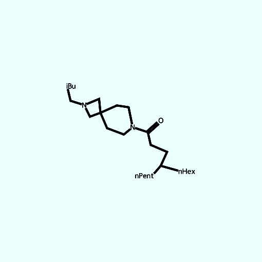 CCCCCCC(CCCCC)CCC(=O)N1CCC2(CC1)CN(CC(C)CC)C2